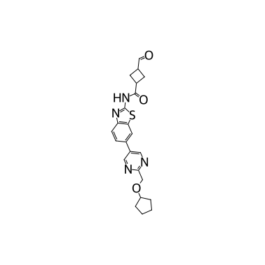 O=CC1CC(C(=O)Nc2nc3ccc(-c4cnc(COC5CCCC5)nc4)cc3s2)C1